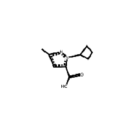 Cc1cc(C(=O)O)n(C2CCC2)n1